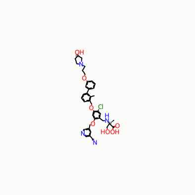 Cc1c(COc2cc(OCc3cncc(C#N)c3)c(CN[C@@](C)(CO)C(=O)O)cc2Cl)cccc1-c1cccc(OCCCN2CC[C@@H](O)C2)c1